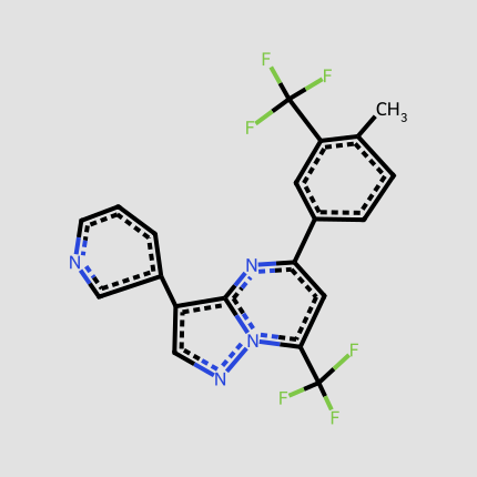 Cc1ccc(-c2cc(C(F)(F)F)n3ncc(-c4cccnc4)c3n2)cc1C(F)(F)F